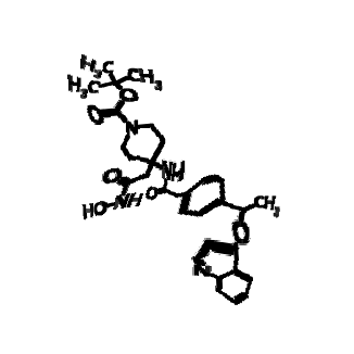 CC(Oc1ccnc2ccccc12)c1ccc(C(=O)NC2(CC(=O)NO)CCN(C(=O)OC(C)(C)C)CC2)cc1